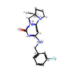 O=c1nc(NCc2cccc(F)c2)cc2n1C[C@@H]1CCCN21